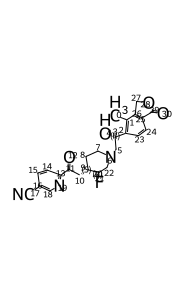 Cc1c([C@@H](O)CN2CC[C@@H](CC(=O)c3ccc(C#N)cn3)[C@@H](F)C2)ccc2c1COC2=O